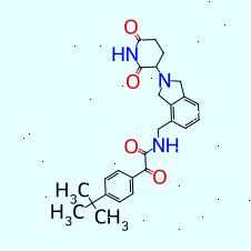 CC(C)(C)c1ccc(C(=O)C(=O)NCc2cccc3c2CN(C2CCC(=O)NC2=O)C3)cc1